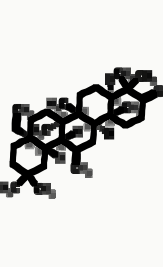 C=C[C@]12CCC(C)(C)C[C@H]1[C@H]1C(=C)C[C@@H]3[C@@]4(C)CCC(=O)C(C)(C)[C@@H]4CC[C@@]3(C)[C@]1(C)CC2